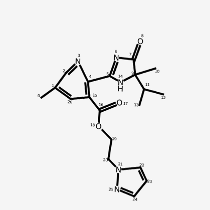 Cc1cnc(C2=NC(=O)C(C)(C(C)C)N2)c(C(=O)OCCn2cccn2)c1